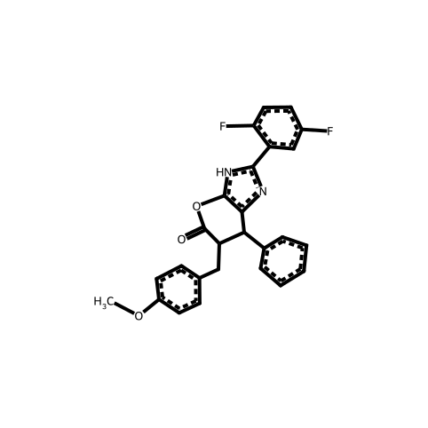 COc1ccc(CC2C(=O)Oc3[nH]c(-c4cc(F)ccc4F)nc3C2c2ccccc2)cc1